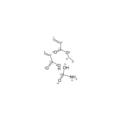 C=CC(=O)O.C=CC(=O)OCC.NC(=O)O